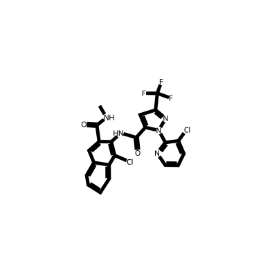 CNC(=O)c1cc2ccccc2c(Cl)c1NC(=O)c1cc(C(F)(F)F)nn1-c1ncccc1Cl